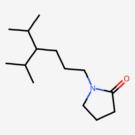 CC(C)C(CCCN1CCCC1=O)C(C)C